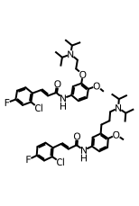 COc1ccc(NC(=O)C=Cc2ccc(F)cc2Cl)cc1CCCN(C(C)C)C(C)C.COc1ccc(NC(=O)C=Cc2ccc(F)cc2Cl)cc1OCCN(C(C)C)C(C)C